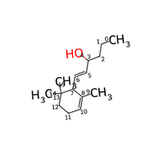 CCCC(O)C=CC1C(C)=CCCC1(C)C